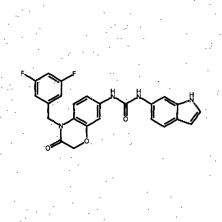 O=C(Nc1ccc2c(c1)OCC(=O)N2Cc1cc(F)cc(F)c1)Nc1ccc2cc[nH]c2c1